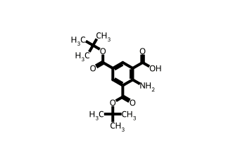 CC(C)(C)OC(=O)c1cc(C(=O)O)c(N)c(C(=O)OC(C)(C)C)c1